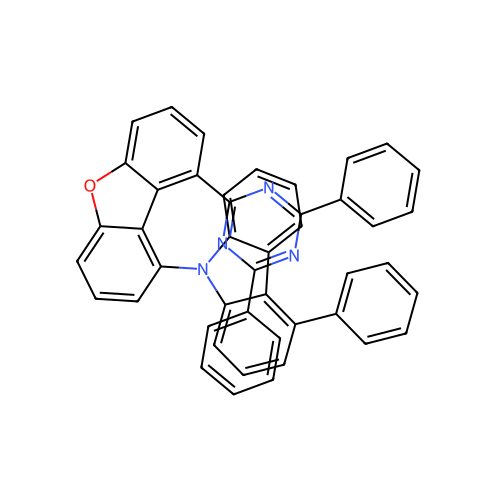 c1ccc(-c2nc(-c3ccccc3)nc(-c3cccc4oc5cccc(-n6c7ccccc7c7c(-c8ccccc8)cccc76)c5c34)n2)cc1